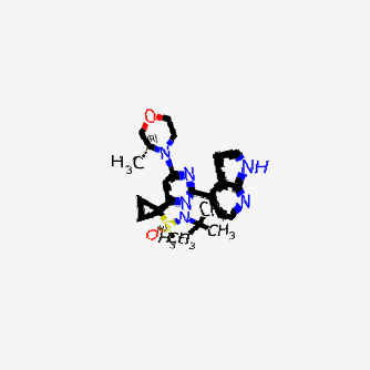 C[C@@H]1COCCN1c1cc(C2([S@@](C)(=O)=NC(C)(C)C)CC2)nc(-c2ccnc3[nH]ccc23)n1